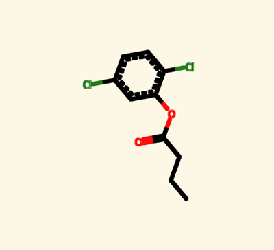 CCCC(=O)Oc1cc(Cl)ccc1Cl